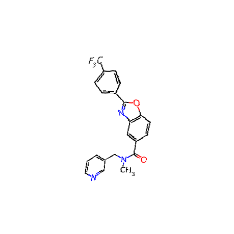 CN(Cc1cccnc1)C(=O)c1ccc2oc(-c3ccc(C(F)(F)F)cc3)nc2c1